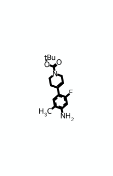 Cc1cc(C2=CCN(C(=O)OC(C)(C)C)CC2)c(F)cc1N